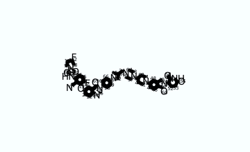 N#Cc1c(NS(=O)(=O)N2CC[C@@H](F)C2)ccc(F)c1Oc1ccc2ncn(-c3ccc(N4CC(CN5CCN(C6CCN(c7ccc8c(c7)CN([C@@H]7CCC(=O)NC7=O)C8=O)CC6)CC5)C4)cc3)c(=O)c2c1